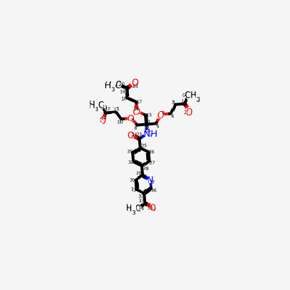 CC(=O)CCOCC(COCCC(C)=O)(COCCC(C)=O)NC(=O)c1ccc(-c2ccc(C(C)=O)cn2)cc1